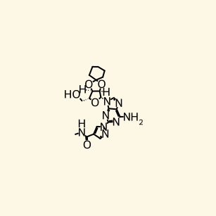 CNC(=O)c1cnn(-c2nc(N)c3ncn([C@@H]4O[C@H](CO)[C@H]5OC6(CCCCC6)O[C@H]54)c3n2)c1